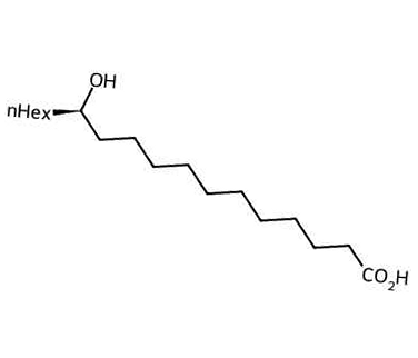 CCCCCC[C@@H](O)CCCCCCCCCCC(=O)O